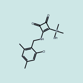 CCC[N+](C)(C)c1c(NCc2c(C)cc(C)cc2Cl)c(=O)c1=O